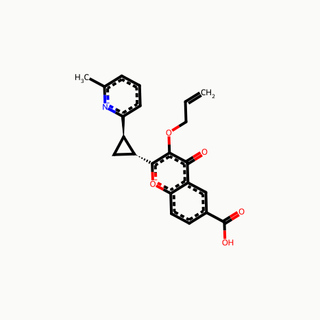 C=CCOc1c([C@@H]2C[C@H]2c2cccc(C)n2)oc2ccc(C(=O)O)cc2c1=O